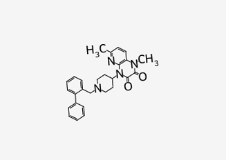 Cc1ccc2c(n1)n(C1CCN(Cc3ccccc3-c3ccccc3)CC1)c(=O)c(=O)n2C